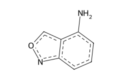 Nc1cccc2nocc12